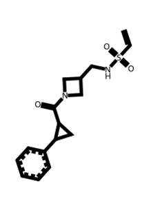 C=CS(=O)(=O)NCC1CN(C(=O)C2CC2c2ccccc2)C1